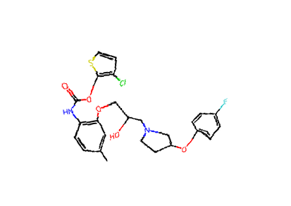 Cc1ccc(NC(=O)Oc2sccc2Cl)c(OCC(O)CN2CCC(Oc3ccc(F)cc3)C2)c1